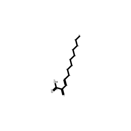 C=C(C=CCCCCCCCCC)C(=O)O